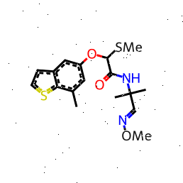 CON=CC(C)(C)NC(=O)C(Oc1cc(C)c2sccc2c1)SC